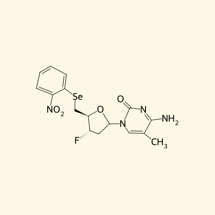 Cc1cn(C2C[C@H](F)[C@@H](C[Se]c3ccccc3[N+](=O)[O-])O2)c(=O)nc1N